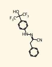 N#C/C(Cc1ccccc1)=N/Nc1ccc(C(O)(C(F)(F)F)C(F)(F)F)cc1